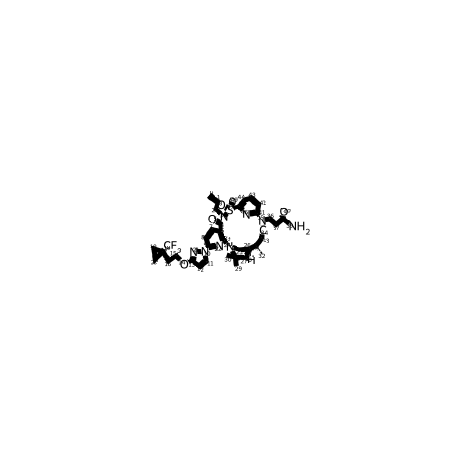 C=CCN1C(=O)c2ccc(-n3ccc(OCCC4(C(F)(F)F)CC4)n3)nc2N2C[C@H](CC2(C)C)[C@@H](C)CCN(CCC(N)=O)c2cccc(n2)S1(=O)=O